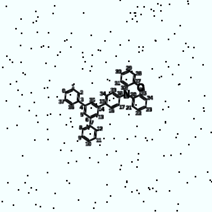 c1ccc(-c2cc(-c3ccccc3)cc(-c3ccc(N4c5ccccc5Oc5ccccc54)cc3)c2)cc1